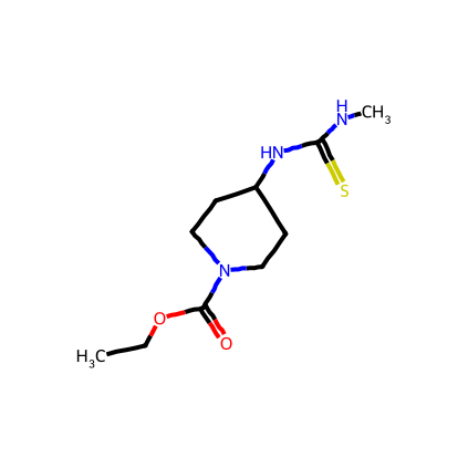 CCOC(=O)N1CCC(NC(=S)NC)CC1